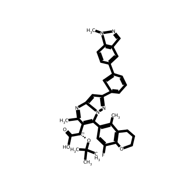 Cc1nc2cc(-c3cccc(-c4ccc5c(cnn5C)c4)c3)nn2c(-c2cc(F)c3c(c2C)CCCO3)c1[C@H](OC(C)(C)C)C(=O)O